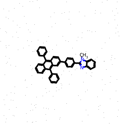 Cn1c(-c2ccc(-c3ccc4c(-c5ccccc5)c5ccccc5c(-c5ccccc5)c4c3)cc2)nc2ccccc21